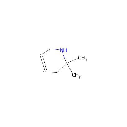 CC1(C)C[C]=CCN1